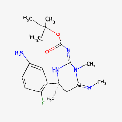 C/N=[Si]1/C[C@@](C)(c2cc(N)ccc2F)N/C(=N\C(=O)OC(C)(C)C)N1C